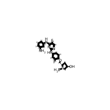 BN1C[C@H](O)C[C@H]1COc1ccc(Nc2ncc(F)c(Nc3cccc(N)c3)n2)cc1F